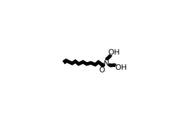 C=CCCCCCCCCC(=O)N(CCO)CCO